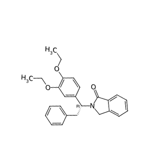 CCOc1ccc([C@@H](Cc2ccccc2)N2Cc3ccccc3C2=O)cc1OCC